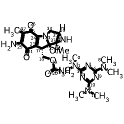 CN(C)c1nc(N(C)C)nc(N(C)C)n1.CO[C@@]12[C@H](COC(N)=O)C3=C(C(=O)C(C)=C(N)C3=O)N1C[C@@H]1N[C@@H]12